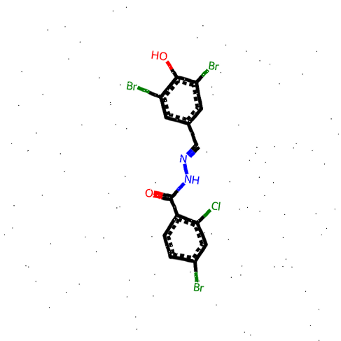 O=C(NN=Cc1cc(Br)c(O)c(Br)c1)c1ccc(Br)cc1Cl